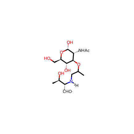 [2H]N(CC(C)O[C@H]1[C@H](O)[C@@H](CO)O[C@H](O)[C@@H]1NC(C)=O)[C@H]([C]=O)[C@@H](C)O